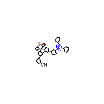 N#Cc1cccc(-c2ccc3c(c2)-c2cc(-c4cccc(-c5nc(-c6ccccc6)nc(-c6ccccc6)n5)c4)ccc2C32c3ccccc3Sc3ccccc32)c1